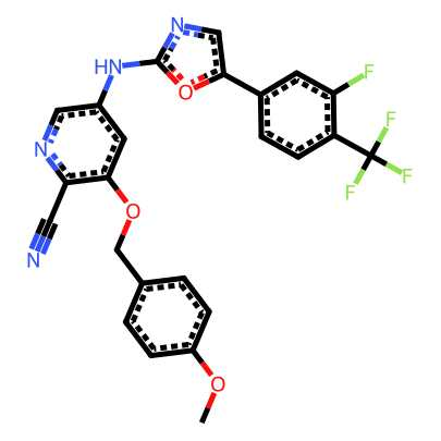 COc1ccc(COc2cc(Nc3ncc(-c4ccc(C(F)(F)F)c(F)c4)o3)cnc2C#N)cc1